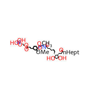 CCCCCCCC(=O)CC[C@@H]1[C@@H](C/C=C\CCCC(=O)NC(C)C(=O)Oc2ccc(/C=C/C(=O)OCCON(O)O)cc2OC)[C@@H](O)C[C@H]1O